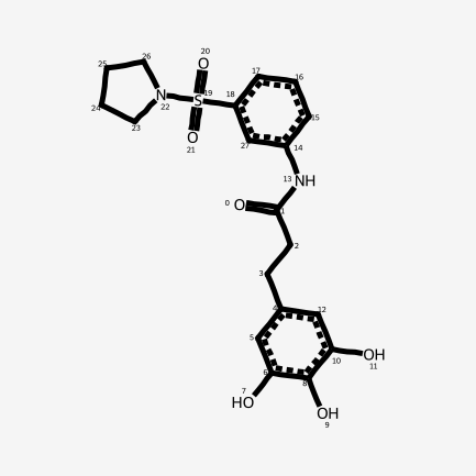 O=C(CCc1cc(O)c(O)c(O)c1)Nc1cccc(S(=O)(=O)N2CCCC2)c1